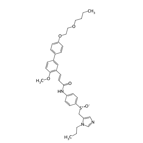 CCCCOCCOc1ccc(-c2ccc(OC)c(/C=C/C(=O)Nc3ccc([S@@+]([O-])Cc4cncn4CCC)cc3)c2)cc1